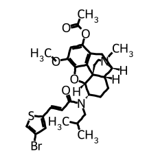 COc1cc(OC(C)=O)c2c3c1O[C@H]1[C@@H](N(CC(C)C)C(=O)/C=C/c4cc(Br)cs4)CC[C@H]4[C@@H](C2)N(C)CC[C@@]341